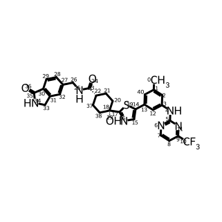 Cc1cc(Nc2nccc(C(F)(F)F)n2)cc(-c2cnc([C@]3(O)CC[C@@H](C(=O)NCc4ccc5c(c4)CNC5=O)CC3)s2)c1